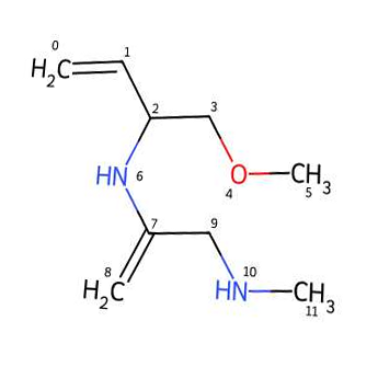 C=CC(COC)NC(=C)CNC